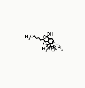 CCCCCCCC1C(C(=O)O)=CC=CC1(C(=O)O)C(C)C(C)(C)C